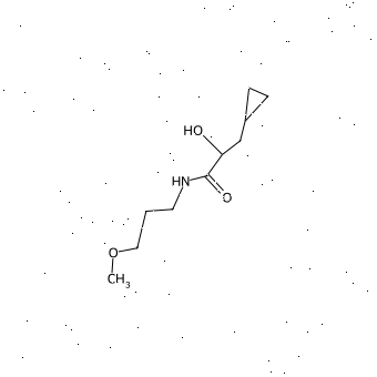 COCCCNC(=O)C(O)CC1CC1